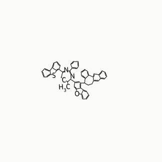 CC1CC/C(c2cccc3c2sc2ccccc23)=N\C(c2ccccc2)=N/C1c1cc(C2CCc3cc4ccccc4cc3-c3ccccc32)c2c(c1)oc1ccccc12